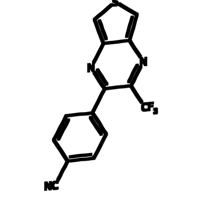 N#Cc1ccc(-c2nc3cscc3nc2C(F)(F)F)cc1